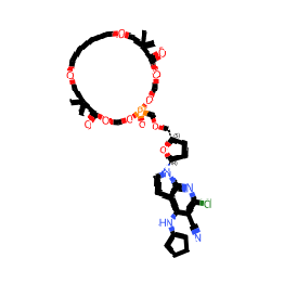 CC1(C)COCCCCOCC(C)(C)C(=O)OCOP(=O)(COC[C@@H]2CC[C@H](n3ccc4c(NC5CCCC5)c(C#N)c(Cl)nc43)O2)OCOC1=O